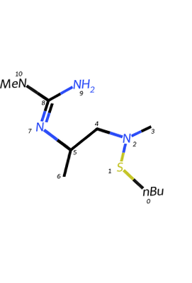 CCCCSN(C)CC(C)/N=C(\N)NC